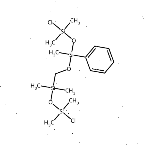 C[Si](C)(Cl)O[Si](C)(C)CO[Si](C)(O[Si](C)(C)Cl)c1ccccc1